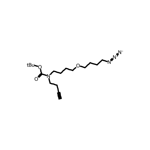 C#CCCN(CCCCOCCCCN=[N+]=[N-])C(=O)OC(C)(C)C